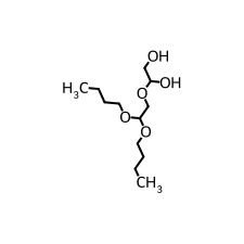 CCCCOC(COC(O)CO)OCCCC